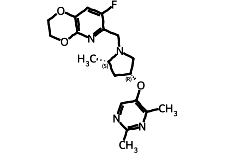 Cc1ncc(O[C@@H]2C[C@H](C)N(Cc3nc4c(cc3F)OCCO4)C2)c(C)n1